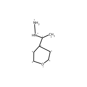 CC(NN)C1CCOCC1